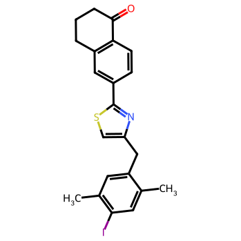 Cc1cc(Cc2csc(-c3ccc4c(c3)CCCC4=O)n2)c(C)cc1I